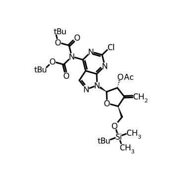 C=C1[C@@H](OC(C)=O)[C@H](n2ncc3c(N(C(=O)OC(C)(C)C)C(=O)OC(C)(C)C)nc(Cl)nc32)O[C@@H]1CO[Si](C)(C)C(C)(C)C